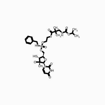 CC(C)OC(=O)NCC(C)(C)C(=O)SCCO[P@@](=O)(NCc1ccccc1)OC[C@H]1O[C@@H](n2ccc(=O)[nH]c2=O)[C@](C)(Cl)[C@@H]1O